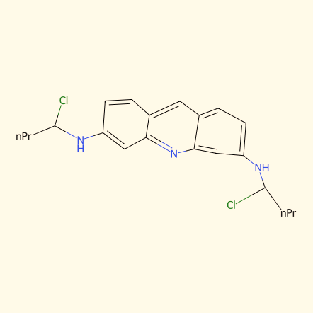 CCCC(Cl)Nc1ccc2cc3ccc(NC(Cl)CCC)cc3nc2c1